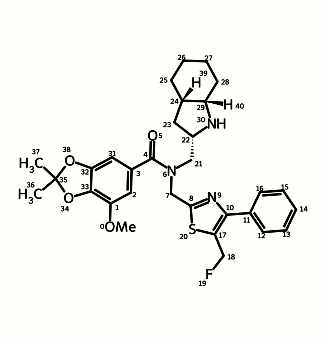 COc1cc(C(=O)N(Cc2nc(-c3ccccc3)c(CF)s2)C[C@@H]2C[C@@H]3CCCC[C@@H]3N2)cc2c1OC(C)(C)O2